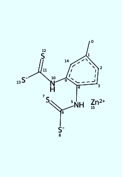 Cc1ccc(NC(=S)[S-])c(NC(=S)[S-])c1.[Zn+2]